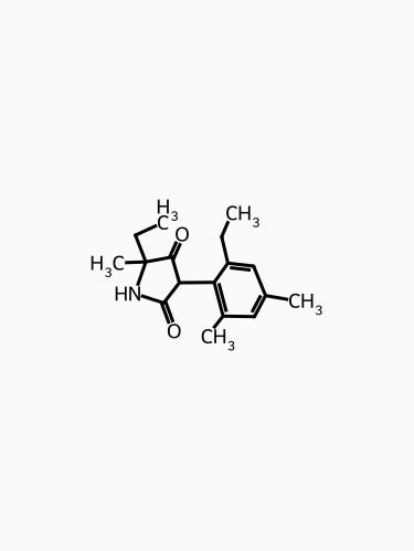 CCc1cc(C)cc(C)c1C1C(=O)NC(C)(CC)C1=O